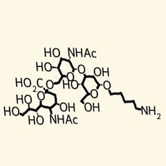 CC(=O)NC1C([C@H](O)[C@H](O)CO)O[C@@](OCC2O[C@@H](OC3[C@@H](O)C(CO)O[C@@H](OCCCCCN)[C@H]3O)[C@@H](NC(C)=O)C(O)[C@@H]2O)(C(=O)O)C[C@H]1O